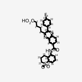 O=C(O)CCCCc1nc2cc(C(=O)Nc3cccc4c3CCCS4(=O)=O)ccc2nc1-c1ccc(F)cc1